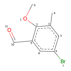 COc1c(C)cc(Br)cc1C=O